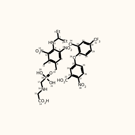 CCC(CC)Nc1c([N+](=O)[O-])cc(C)c(C)c1[N+](=O)[O-].O=C(O)CNCP(=O)(O)O.O=C(O)c1cc(Oc2ccc(C(F)(F)F)cc2Cl)ccc1[N+](=O)[O-]